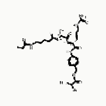 CC(C)C(C)C(=O)OCc1ccc(NC(=O)[C@@H](CCCNC(N)=O)NC(=O)[C@H](NC(=O)CCCCNC(=O)CI)C(C)C)cc1